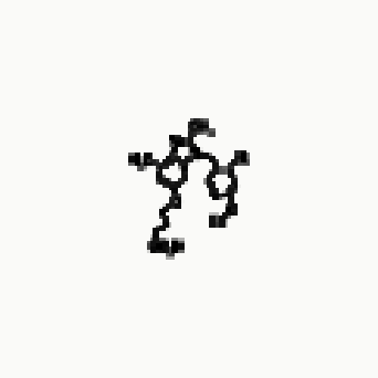 CCOc1ccc(Cn2c(C)nc3c(C)cc(OCCCC(=O)O)cc32)c(CC)c1